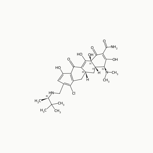 C[C@@H](NCc1cc(O)c2c(c1Cl)C[C@H]1C[C@H]3[C@H](N(C)C)C(O)=C(C(N)=O)C(=O)[C@@]3(O)C(O)=C1C2=O)C(C)(C)C